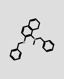 CN(Cc1ccccc1)c1c(OCc2ccccc2)ccc2c1CCC=C2